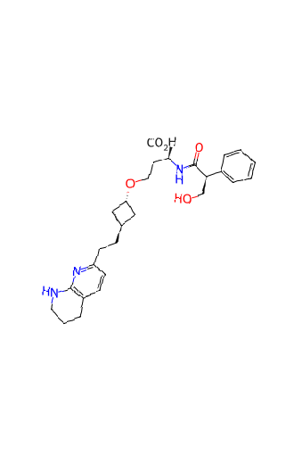 O=C(O)[C@H](CCO[C@H]1C[C@H](CCc2ccc3c(n2)NCCC3)C1)NC(=O)[C@H](CO)c1ccccc1